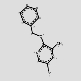 Cc1nc(Br)cnc1OCc1ccccc1